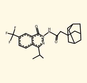 CC(C)c1nn(NC(=O)CC23CC4CC(CC(C4)C2)C3)c(=O)c2cc(C(F)(F)F)ccc12